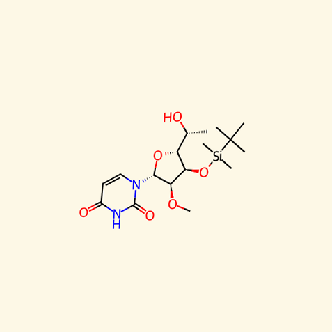 CO[C@@H]1[C@H](O[Si](C)(C)C(C)(C)C)[C@@H]([C@@H](C)O)O[C@H]1n1ccc(=O)[nH]c1=O